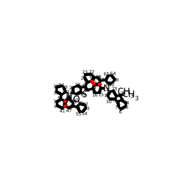 CC1(C)c2ccccc2-c2ccc(N(c3ccc4c(c3)c3ccccc3c3c5ccc(N(c6ccccc6-c6ccccc6)c6cccc7c6oc6ccccc67)cc5sc43)c3ccccc3-c3ccccc3)cc21